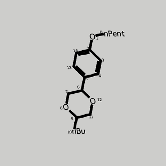 CCCCCOc1ccc(C2COC(CCCC)CO2)cc1